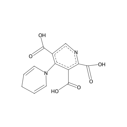 O=C(O)c1cnc(C(=O)O)c(C(=O)O)c1N1C=CCC=C1